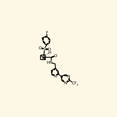 O=C(NCc1ccnc(-c2cnc(C(F)(F)F)nc2)c1)[C@@H]1C2CC(C2)N1S(=O)(=O)c1ccc(F)cc1